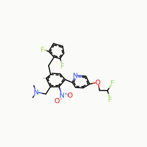 CN(C)Cc1[c]c(Cc2c(F)cccc2F)cc(-c2ccc(OCC(F)F)cn2)c1[N+](=O)[O-]